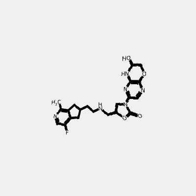 Cc1ncc(F)c2c1CC(CCNCC1CN(c3cnc4c(n3)NC(O)CO4)C(=O)O1)C2